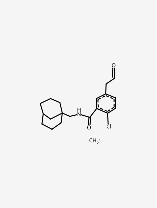 O=CCc1ccc(Cl)c(C(=O)NCC23CCCC(CCC2)C3)c1.[CH2]